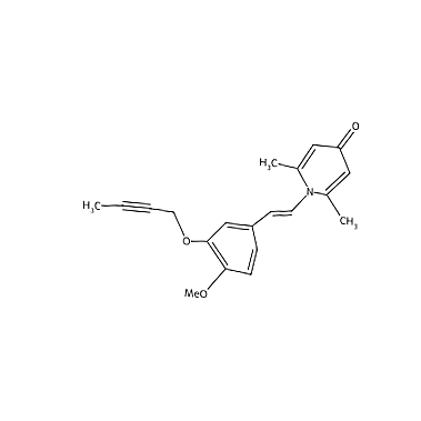 CC#CCOc1cc(C=Cn2c(C)cc(=O)cc2C)ccc1OC